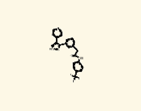 O=C(Cc1cccc(-c2n[nH]cc2-c2ccncc2)c1)Nc1ccc(C(F)(F)F)cc1